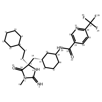 CN1C(=N)N[C@](CCC2CCCCC2)(C[C@H]2CCCC(NC(=O)c3ccc(C(F)(F)F)nc3)C2)C1=O